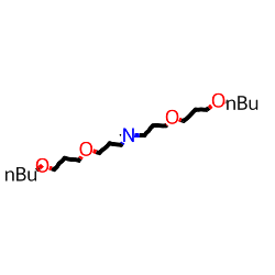 CCCCOCCCOCCC[N]CCCOCCCOCCCC